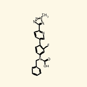 Cn1nnc(-c2ccc(-c3ccc(N(Cc4ccccc4)C(=O)O)cc3F)cn2)n1